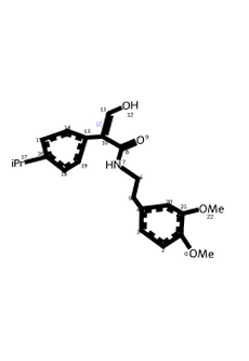 COc1ccc(CCNC(=O)/C(=C\O)c2ccc(C(C)C)cc2)cc1OC